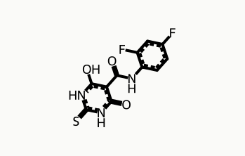 O=C(Nc1ccc(F)cc1F)c1c(O)[nH]c(=S)[nH]c1=O